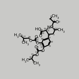 CCC(=O)OC(C)CC(c1ccc(OC(=O)OCC(C)C)c(OC(=O)OCC(C)C)c1)[C@H](N)C(=O)O